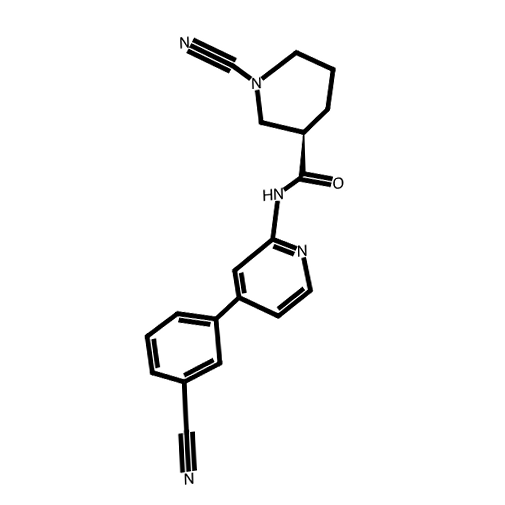 N#Cc1cccc(-c2ccnc(NC(=O)[C@@H]3CCCN(C#N)C3)c2)c1